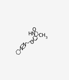 CC1CC(=O)Nc2cc(OCCCN3CCN(C4CCCCC4)CC3)ccc21